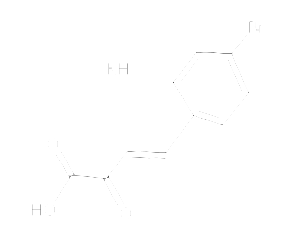 O=C(O)C(=O)C=Cc1ccc(Br)cc1.[KH]